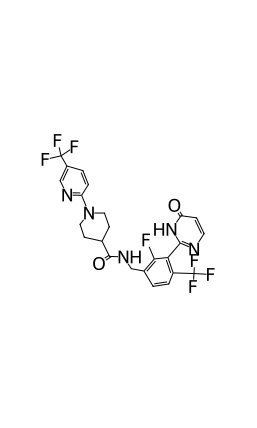 O=C(NCc1ccc(C(F)(F)F)c(-c2nccc(=O)[nH]2)c1F)C1CCN(c2ccc(C(F)(F)F)cn2)CC1